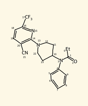 CCC(=O)N(c1ccccc1)C1CCN(c2nc(C(F)(F)F)ccc2C#N)CC1